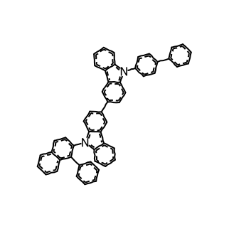 c1ccc(-c2ccc(-n3c4ccccc4c4cc(-c5ccc6c(c5)c5ccccc5n6-c5ccc6ccccc6c5-c5ccccc5)ccc43)cc2)cc1